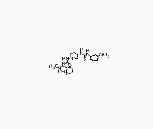 CN(C)c1nc(N[C@H]2CC[C@@H](NC(=S)Nc3cccc([N+](=O)[O-])c3)CC2)nc2c1CCCC2